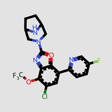 Fc1ccc(-c2cc(Cl)c(OC(F)(F)F)c3nc(N4CC5CCC(C4)N5)oc23)nc1